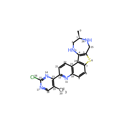 C[C@@H]1CNc2c(sc3ccc4nc(-c5nc(Cl)ncc5C(F)(F)F)ccc4c23)CN1